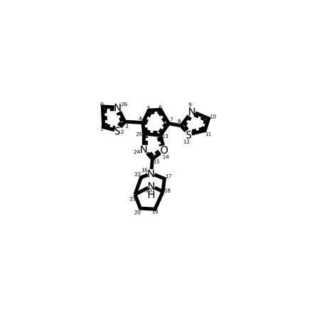 c1csc(-c2ccc(-c3nccs3)c3oc(N4CC5CCC(C4)N5)nc23)n1